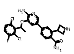 CC(Oc1cc(-c2ccc(C(N)=O)c(C3CNC3)c2)cnc1N)c1c(Cl)ccc(F)c1Cl